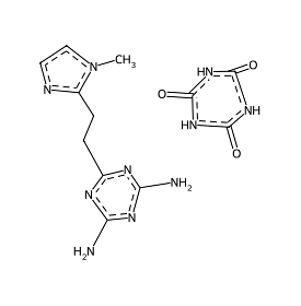 Cn1ccnc1CCc1nc(N)nc(N)n1.O=c1[nH]c(=O)[nH]c(=O)[nH]1